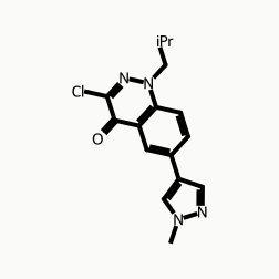 CC(C)Cn1nc(Cl)c(=O)c2cc(-c3cnn(C)c3)ccc21